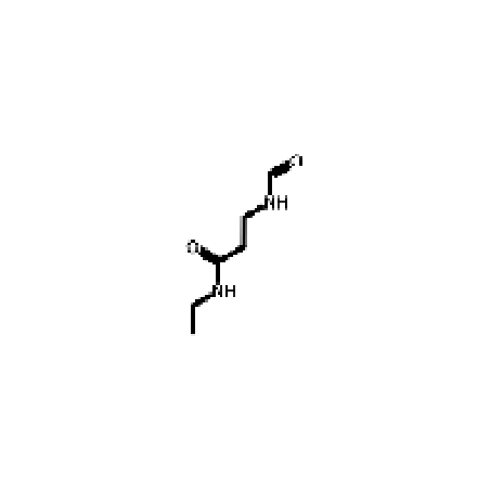 CCNC(=O)CCNC=O